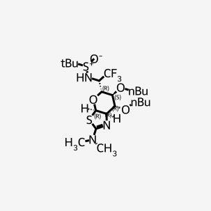 CCCCO[C@@H]1[C@H]2N=C(N(C)C)S[C@H]2O[C@H](C(N[S+]([O-])C(C)(C)C)C(F)(F)F)[C@H]1OCCCC